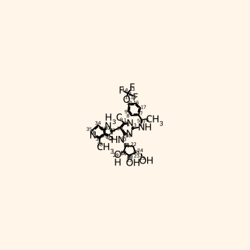 Cc1nc(N[C@H](C)c2ccc(OC(F)(F)F)cc2)nc(N[C@@H]2C[C@H](CO)[C@@H](O)[C@H]2O)c1-c1nc2ccnc(C)c2s1